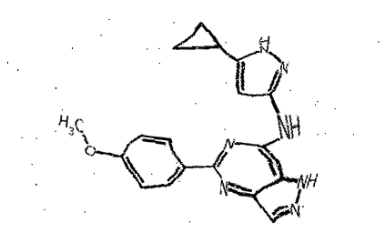 COc1ccc(-c2nc(Nc3cc(C4CC4)[nH]n3)c3[nH]ncc3n2)cc1